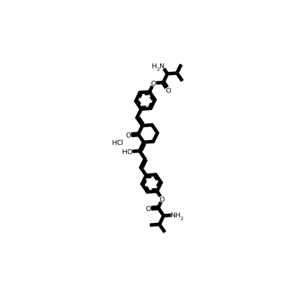 CC(C)C(N)C(=O)Oc1ccc(/C=C/C(O)=C2\CCC/C(=C\c3ccc(OC(=O)C(N)C(C)C)cc3)C2=O)cc1.Cl